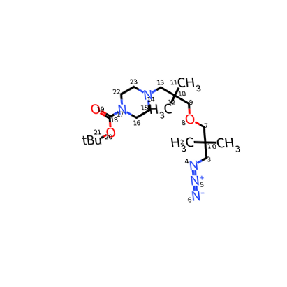 CC(C)(CN=[N+]=[N-])COCC(C)(C)CN1CCN(C(=O)OC(C)(C)C)CC1